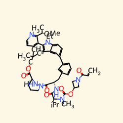 C=CC(=O)N1CC(OC(=O)N(C)[C@H](C(=O)N[C@H]2Cc3cccc(c3)-c3ccc4c(c3)c(c(-c3cccnc3[C@H](C)OC)n4CC)CC(C)(C)COC(=O)[C@@H]3CCCN(N3)C2=O)C(C)C)C1